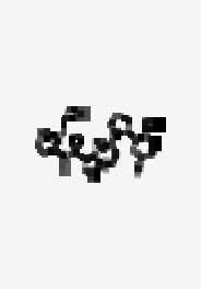 O=C(Nc1ccnn1CCO)c1cnn2ccc(N3CCCC3c3cc(F)cnc3O)nc12